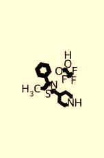 Cc1sc(C2CCNCC2)nc1-c1ccccc1.O=C(O)C(F)(F)F